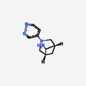 NC1[C@@H]2C[C@H]1CN(c1ccnnc1)C2